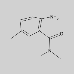 Cc1ccc(N)c(C(=O)N(C)C)c1